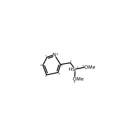 CO[SiH](Cc1ccccn1)OC